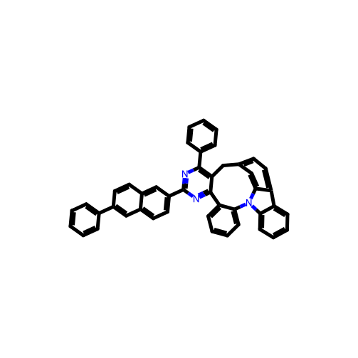 c1ccc(-c2ccc3cc(-c4nc(-c5ccccc5)c5c(n4)-c4ccccc4-n4c6ccccc6c6ccc(cc64)C5)ccc3c2)cc1